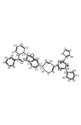 C1=CCC(c2nc(C3=CCCC(c4ccc5c6c(oc5c4)C4C=CC=CC4C(c4ccccc4)=C6)C=C3)nc(-c3ccccc3)n2)=C1